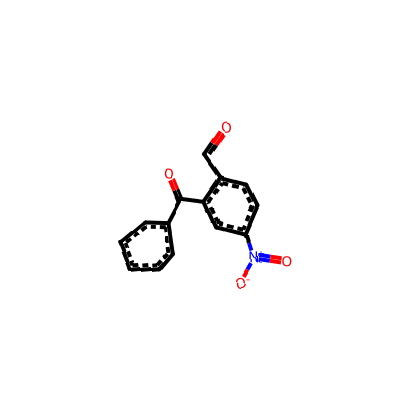 O=Cc1ccc([N+](=O)[O-])cc1C(=O)c1ccccc1